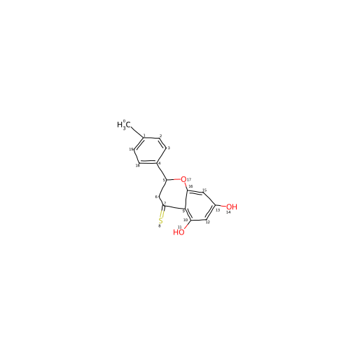 Cc1ccc(C2CC(=S)c3c(O)cc(O)cc3O2)cc1